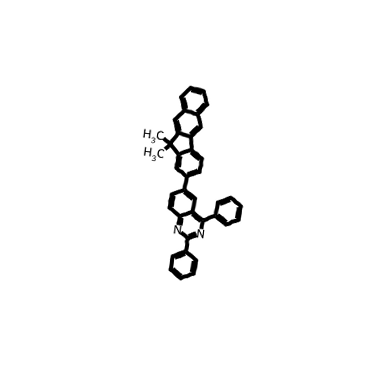 CC1(C)c2cc(-c3ccc4nc(-c5ccccc5)nc(-c5ccccc5)c4c3)ccc2-c2cc3ccccc3cc21